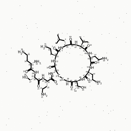 CC(C)C[C@H]1NC(=O)[C@H](CCN)NC(=O)[C@@H](NC(=O)[C@H](CCN)NC(=O)[C@H](CO)NC(=O)[C@@H](N)CCN)CCNC(=O)[C@H]([C@@H](C)O)NC(=O)[C@H](CCN)NC(=O)[C@H](CCN)NC(=O)[C@H](C(C)C)NC1=O